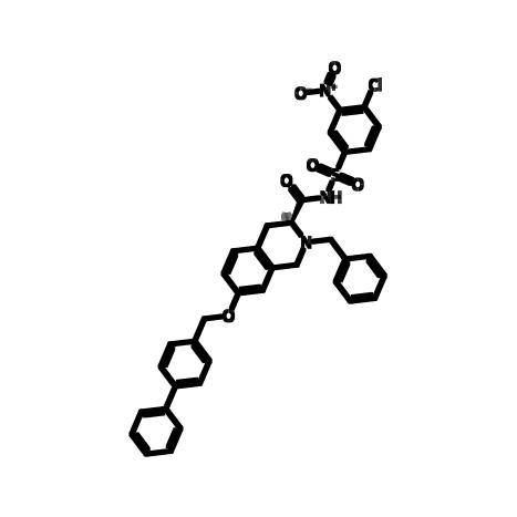 O=C(NS(=O)(=O)c1ccc(Cl)c([N+](=O)[O-])c1)[C@@H]1Cc2ccc(OCc3ccc(-c4ccccc4)cc3)cc2CN1Cc1ccccc1